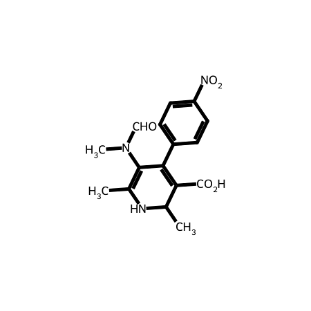 CC1=C(N(C)C=O)C(c2ccc([N+](=O)[O-])cc2)=C(C(=O)O)C(C)N1